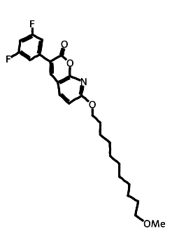 COCCCCCCCCCCCOc1ccc2cc(-c3cc(F)cc(F)c3)c(=O)oc2n1